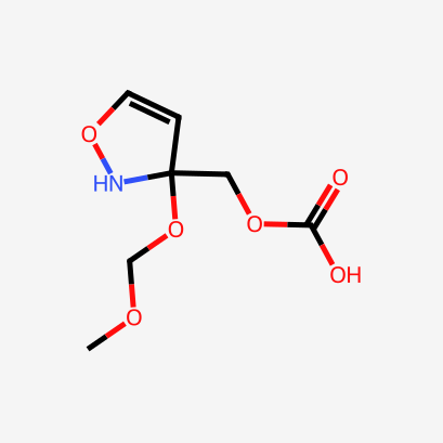 COCOC1(COC(=O)O)C=CON1